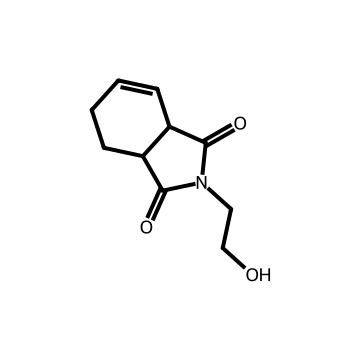 O=C1C2C=CCCC2C(=O)N1CCO